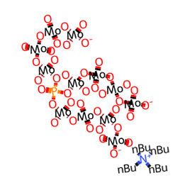 CCCC[N+](CCCC)(CCCC)CCCC.O=P([O][Mo](=[O])(=[O])[O][Mo](=[O])(=[O])[O][Mo](=[O])(=[O])[O][Mo](=[O])(=[O])[O-])([O][Mo](=[O])(=[O])[O][Mo](=[O])(=[O])[O][Mo](=[O])(=[O])[O][Mo](=[O])(=[O])[O-])[O][Mo](=[O])(=[O])[O][Mo](=[O])(=[O])[O][Mo](=[O])(=[O])[O][Mo](=[O])(=[O])[O-]